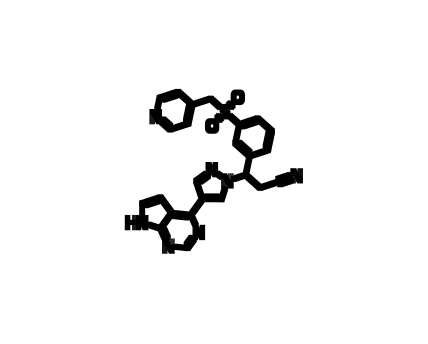 N#CCC(c1cccc(S(=O)(=O)Cc2ccncc2)c1)n1cc(-c2ncnc3[nH]ccc23)cn1